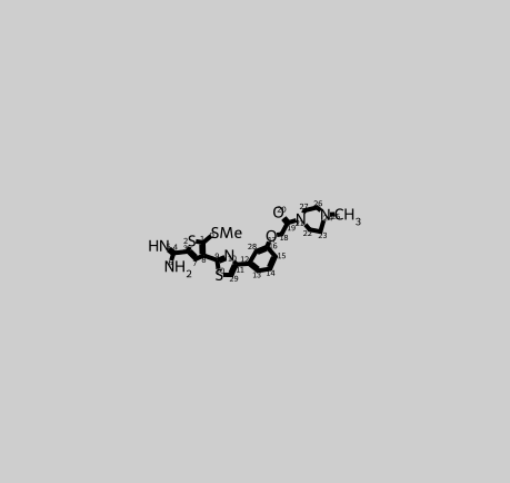 CSc1sc(C(=N)N)cc1-c1nc(-c2cccc(OCC(=O)N3CCN(C)CC3)c2)cs1